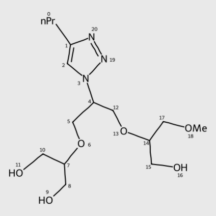 CCCc1cn(C(COC(CO)CO)COC(CO)COC)nn1